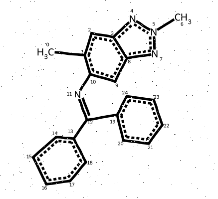 Cc1cc2nn(C)nc2cc1N=C(c1ccccc1)c1ccccc1